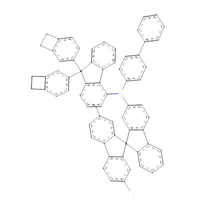 CC(C)(C)c1ccc2c(c1)C1(c3ccccc3-c3ccc(N(c4ccc(-c5ccccc5)cc4)c4cccc5c4-c4ccccc4C5(c4ccc5c(c4)CC5)c4ccc5c(c4)CC5)cc31)c1cc(C(C)(C)C)ccc1-2